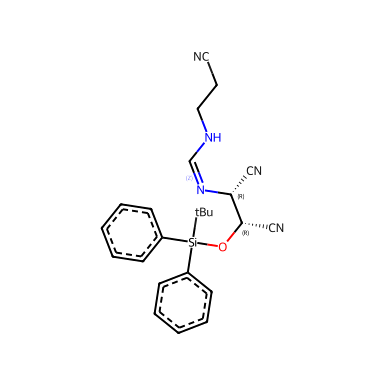 CC(C)(C)[Si](O[C@@H](C#N)[C@@H](C#N)/N=C\NCCC#N)(c1ccccc1)c1ccccc1